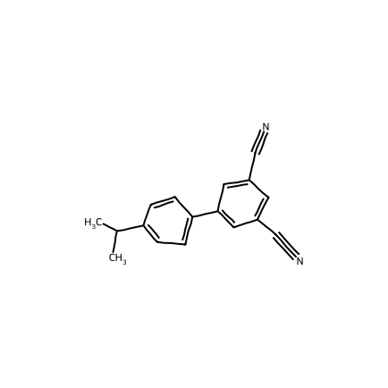 CC(C)c1ccc(-c2cc(C#N)cc(C#N)c2)cc1